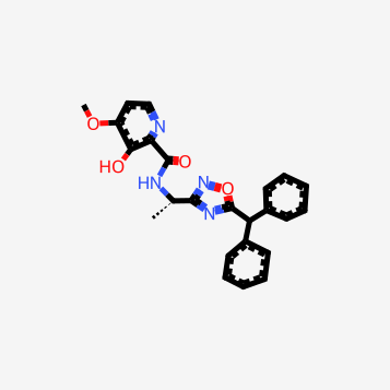 COc1ccnc(C(=O)N[C@@H](C)c2noc(C(c3ccccc3)c3ccccc3)n2)c1O